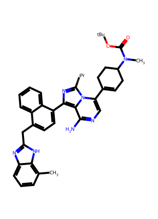 Cc1cccc2nc(Cc3ccc(-c4nc(C(C)C)n5c(C6=CCC(N(C)C(=O)OC(C)(C)C)CC6)cnc(N)c45)c4ccccc34)[nH]c12